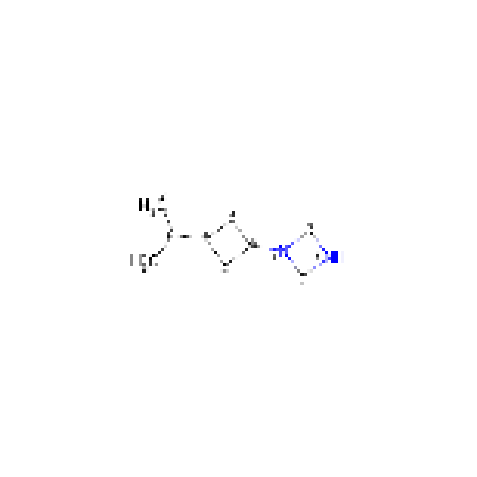 CC(C)C1CC(N2CNC2)C1